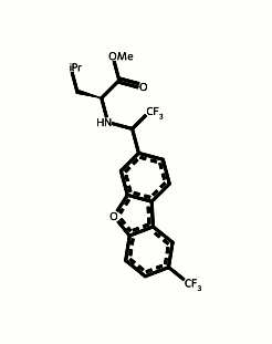 COC(=O)[C@H](CC(C)C)NC(c1ccc2c(c1)oc1ccc(C(F)(F)F)cc12)C(F)(F)F